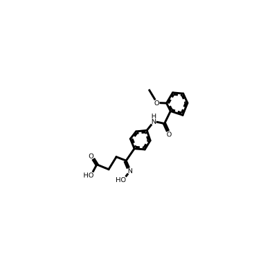 COc1ccccc1C(=O)Nc1ccc(C(CCC(=O)O)=NO)cc1